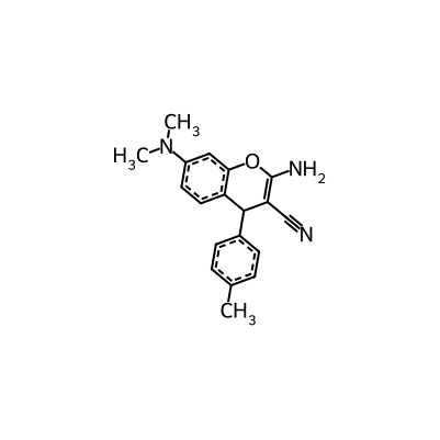 Cc1ccc(C2C(C#N)=C(N)Oc3cc(N(C)C)ccc32)cc1